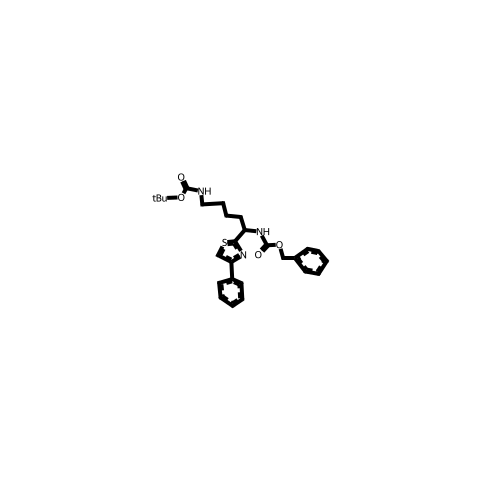 CC(C)(C)OC(=O)NCCCCC(NC(=O)OCc1ccccc1)c1nc(-c2ccccc2)cs1